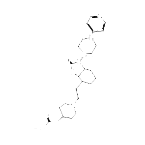 O=C(O)OC1CCN(CCC2CCCC3C2OC(=O)N3N2CCN(c3ccncc3)CC2)CC1